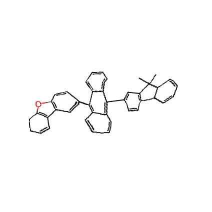 CC1(C)c2cc(-c3c4ccccc4c(-c4ccc5oc6c(c5c4)C=CCC6)c4ccccc34)ccc2C2C=CC=CC21